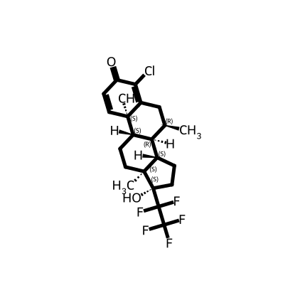 C[C@@H]1CC2=C(Cl)C(=O)C=C[C@]2(C)[C@H]2CC[C@@]3(C)[C@@H](CC[C@@]3(O)C(F)(F)C(F)(F)F)[C@H]12